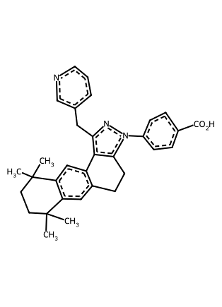 CC1(C)CCC(C)(C)c2cc3c(cc21)CCc1c-3c(Cc2cccnc2)nn1-c1ccc(C(=O)O)cc1